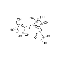 O=C[C@H](O[C@H]1O[C@H](CO[C@H]2O[C@H](CO)[C@@H](O)[C@H](O)[C@H]2O)[C@@H](O)[C@H](O)[C@H]1O)[C@H](O)CO